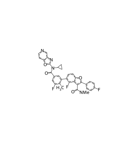 CNC(=O)c1c(-c2ccc(F)cc2)oc2ccc(-c3cc(C(=O)N(c4nc5cnccc5o4)C4CC4)cc(F)c3C)c(F)c12